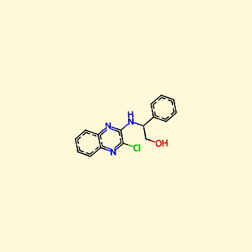 OCC(Nc1nc2ccccc2nc1Cl)c1ccccc1